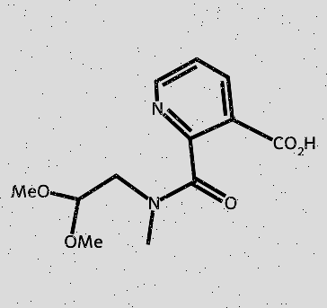 COC(CN(C)C(=O)c1ncccc1C(=O)O)OC